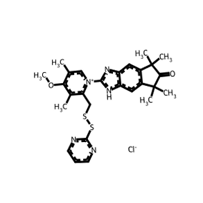 COc1c(C)c[n+](-c2nc3cc4c(cc3[nH]2)C(C)(C)C(=O)C4(C)C)c(CSSc2ncccn2)c1C.[Cl-]